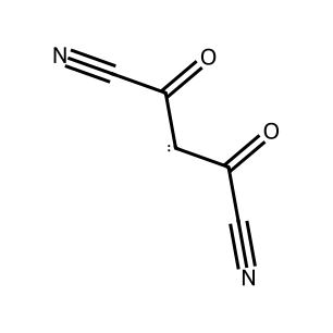 N#CC(=O)[C]C(=O)C#N